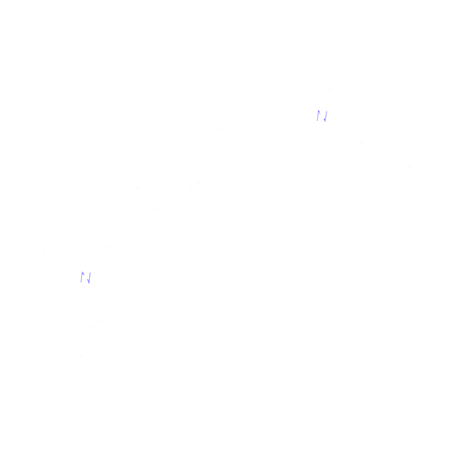 c1ccc(-c2ccc(N(c3ccccc3)c3ccc(-c4c5ccccc5c(-c5ccc(-c6c7ccccc7c(-c7ccc(N(c8ccccc8)c8ccc(-c9ccccc9)cc8)cc7)c7ccccc67)cc5)c5ccccc45)cc3)cc2)cc1